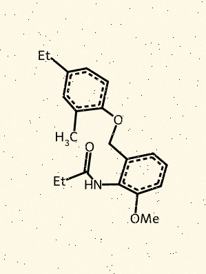 CCC(=O)Nc1c(COc2ccc(CC)cc2C)cccc1OC